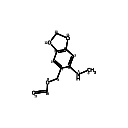 CNc1cc2c(cc1COC=O)OCO2